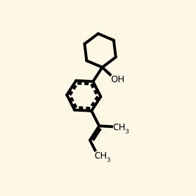 C/C=C(\C)c1cccc(C2(O)CCCCC2)c1